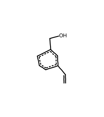 C=Cc1cccc(CO)c1